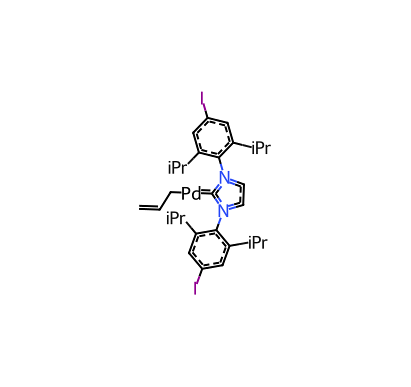 C=C[CH2][Pd]=[c]1n(-c2c(C(C)C)cc(I)cc2C(C)C)ccn1-c1c(C(C)C)cc(I)cc1C(C)C